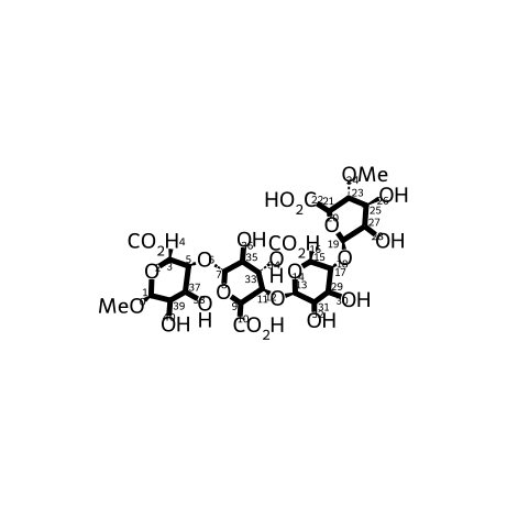 CO[C@H]1O[C@@H](C(=O)O)[C@H](O[C@H]2OC(C(=O)O)[C@H](O[C@H]3O[C@@H](C(=O)O)[C@H](O[C@H]4OC(C(=O)O)[C@H](OC)[C@@H](O)C4O)C(O)C3O)[C@@H](O)C2O)C(O)C1O